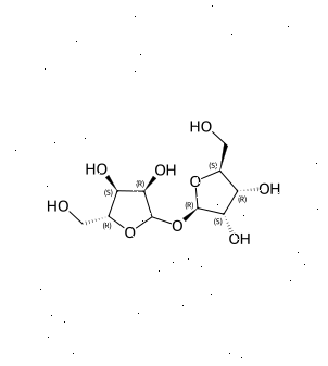 OC[C@@H]1O[C@H](OC2O[C@H](CO)[C@@H](O)[C@H]2O)[C@@H](O)[C@H]1O